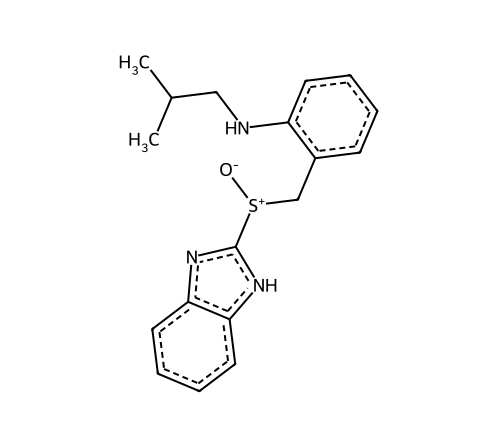 CC(C)CNc1ccccc1C[S+]([O-])c1nc2ccccc2[nH]1